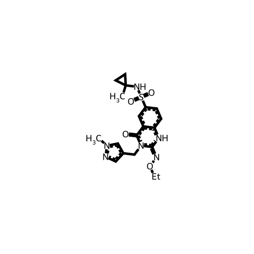 CCON=c1[nH]c2ccc(S(=O)(=O)NC3(C)CC3)cc2c(=O)n1Cc1cnn(C)c1